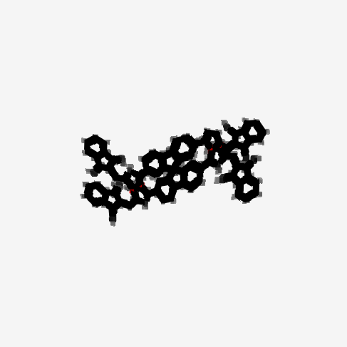 O=C1C(=Cc2ccc(-c3ccc4c(c3)C3(c5cc(-c6ccc(C=C7C(=O)c8ccccc8C7=O)s6)ccc5-4)c4cc(-c5ccc(C=C6C(=O)c7ccccc7C6=O)s5)ccc4-c4ccc(-c5ccc(C=C6C(=O)c7ccccc7C6=O)s5)cc43)s2)C(=O)c2ccccc21